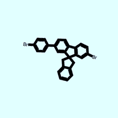 Brc1ccc(-c2ccc3c(c2)C2(Cc4ccccc4C2)c2cc(Br)ccc2-3)cc1